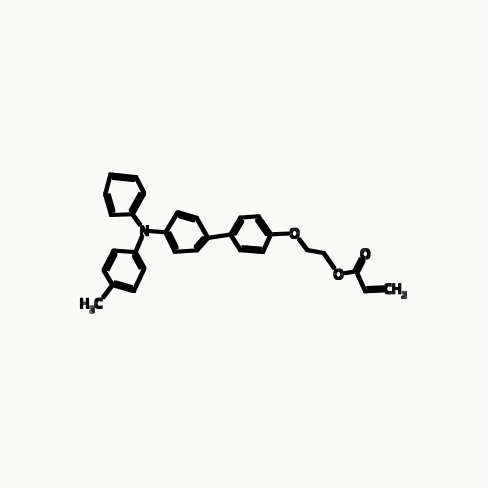 C=CC(=O)OCCOc1ccc(-c2ccc(N(c3ccccc3)c3ccc(C)cc3)cc2)cc1